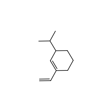 C=CC1=CC(C(C)C)CCC1